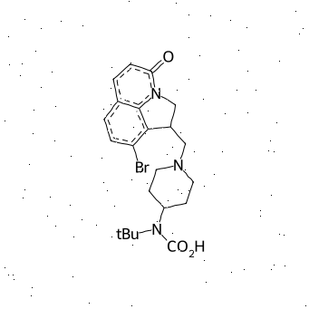 CC(C)(C)N(C(=O)O)C1CCN(CC2Cn3c(=O)ccc4ccc(Br)c2c43)CC1